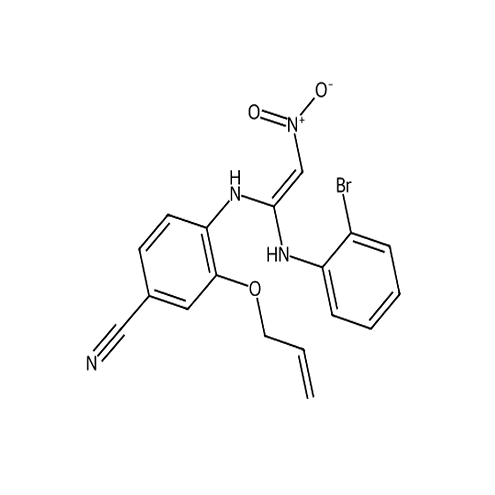 C=CCOc1cc(C#N)ccc1NC(=C[N+](=O)[O-])Nc1ccccc1Br